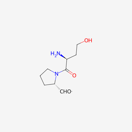 N[C@@H](CCO)C(=O)N1CCC[C@H]1[C]=O